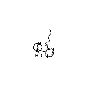 CCCCSc1nccnc1C1(O)CN2CCC1CC2